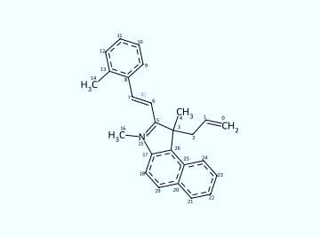 C=CCC1(C)C(/C=C/c2ccccc2C)=[N+](C)c2ccc3ccccc3c21